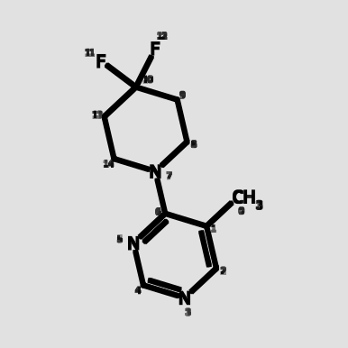 Cc1cncnc1N1CCC(F)(F)CC1